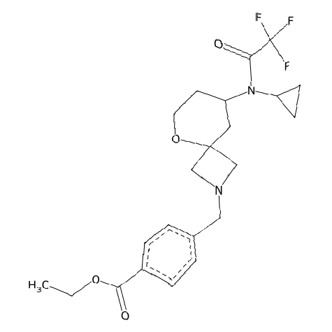 CCOC(=O)c1ccc(CN2CC3(CC(N(C(=O)C(F)(F)F)C4CC4)CCO3)C2)cc1